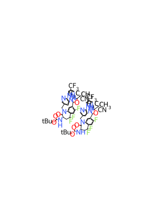 CC(C)(C)OC(=O)NC1CC(F)(F)c2cc(F)c(-c3nnc(C(C)(C)C#N)o3)cc2N(Cc2ccc(-n3cc(C(F)(F)F)cn3)nc2)C1=O.CC(C)(C)OC(=O)N[C@@H]1CC(F)(F)c2cc(F)c(-c3nnc(C(C)(C)C#N)o3)cc2N(Cc2ccc(-n3cc(C(F)(F)F)cn3)nc2)C1=O